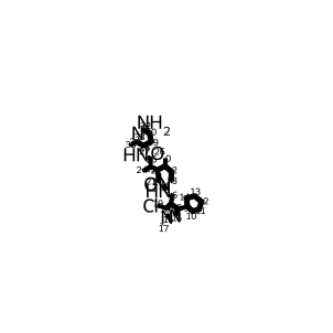 Cc1ccn(NCc2c(-c3ccccc3)nn(C)c2Cl)c(=O)c1C(C)C(=O)Nc1ccc(N)nc1C